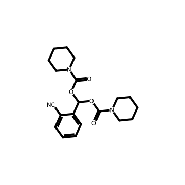 N#Cc1ccccc1C(OC(=O)N1CCCCC1)OC(=O)N1CCCCC1